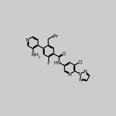 CC(C)Cc1cc(C(=O)Nc2cnc(-n3nccn3)c(Cl)c2)c(F)cc1-c1ccncc1N